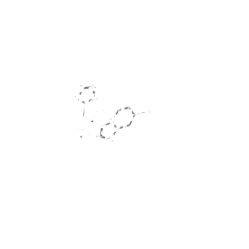 O=P(O)(O)C(O)(Cc1nnn[nH]1)c1cnc2cc(Br)ccn12